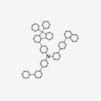 c1ccc(-c2cccc(-c3ccc(N(c4ccc(-c5cccc6c5-c5ccccc5C6(c5ccccc5)c5ccccc5)cc4)c4cccc(-c5ccc(-c6cccc7ccccc67)cc5)c4)cc3)c2)cc1